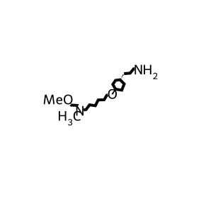 COCCN(C)CCCCCCO[C@H]1CC[C@H](CCCN)CC1